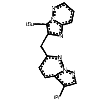 CC(C)c1cnn2nc(Cc3nc4cccnn4c3C(C)(C)C)ccc12